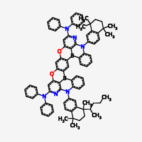 CCCC(C)C1(C)CCC(C)(C)c2ccc(N3c4ccccc4B4c5cc6c(cc5Oc5cc(N(c7ccccc7)c7ccccc7)nc3c54)Oc3cc(N(c4ccccc4)c4ccccc4)nc4c3B6c3ccccc3N4c3ccc4c(c3)C(C)(C)CCC4(C)C)cc21